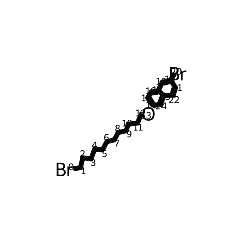 BrCCCCCCCCCCCCOc1ccc2cc(Br)ccc2c1